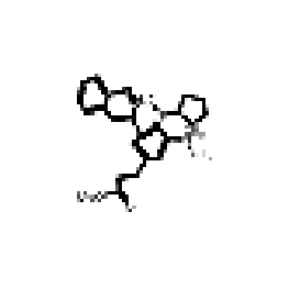 COC(=O)CCc1cc(-c2ccc3ccccc3c2)c(N(C)C2CCCC2)c(N(C)C)c1